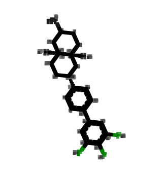 CCCC1CC[C@@H]2C[C@H](c3ccc(-c4cc(F)c(F)c(F)c4)cc3)CC[C@@H]2C1